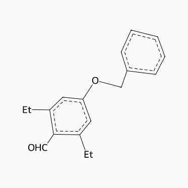 CCc1cc(OCc2ccccc2)cc(CC)c1C=O